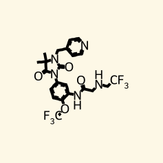 CC1(C)C(=O)N(c2ccc(OC(F)(F)F)c(NC(=O)CNCC(F)(F)F)c2)C(=O)N1Cc1ccncc1